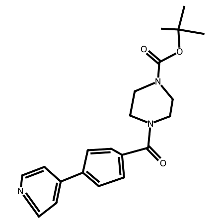 CC(C)(C)OC(=O)N1CCN(C(=O)c2ccc(-c3ccncc3)cc2)CC1